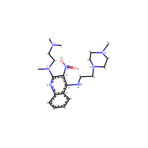 CN(C)CCN(C)c1nc2ccccc2c(NCCN2CCN(C)CC2)c1[N+](=O)[O-]